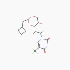 C[C@]1(CC2CCC2)OCC(O)[C@H](C(O)C(F)n2cc(C(F)(F)F)c(=O)[nH]c2=O)O1